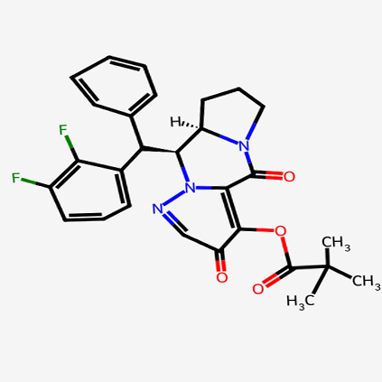 CC(C)(C)C(=O)Oc1c2n(ncc1=O)[C@@H](C(c1ccccc1)c1cccc(F)c1F)[C@H]1CCCN1C2=O